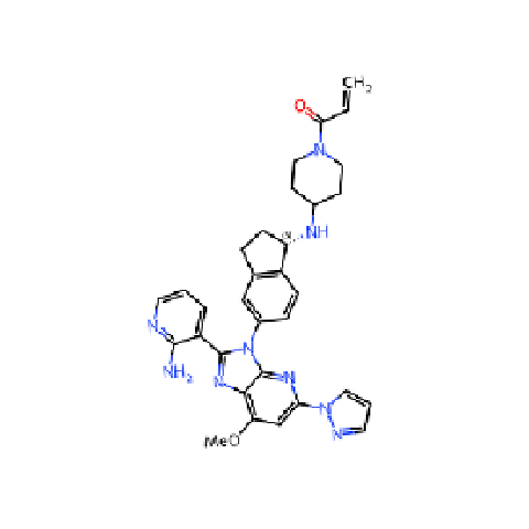 C=CC(=O)N1CCC(N[C@H]2CCc3cc(-n4c(-c5cccnc5N)nc5c(OC)cc(-n6cccn6)nc54)ccc32)CC1